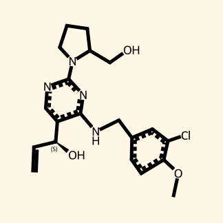 C=C[C@H](O)c1cnc(N2CCCC2CO)nc1NCc1ccc(OC)c(Cl)c1